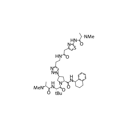 CN[C@@H](C)C(=O)Nc1nc(CC(=O)NCCc2cn([C@H]3C[C@@H](C(=O)N[C@@H]4CCCc5ccccc54)N(C(=O)[C@@H](NC(=O)[C@H](C)NC)C(C)(C)C)C3)nn2)cs1